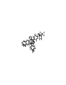 CC(C)(C)NSc1ccc(NC(=O)C2Cc3cccnc3CN2C(=O)c2ccc(F)cc2)cc1